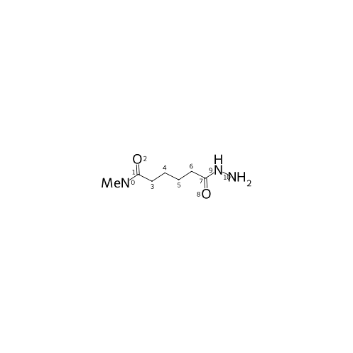 CNC(=O)CCCCC(=O)NN